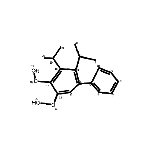 CC(C)c1c(-c2ccccc2)cc(OO)c(OO)c1C(C)C